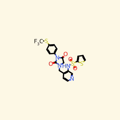 O=C1CN(Cc2ccncc2NS(=O)(=O)c2cccs2)C(=O)N1c1ccc(SC(F)(F)F)cc1